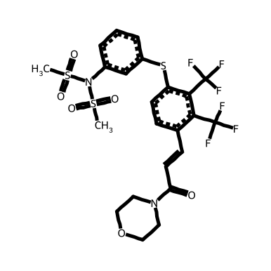 CS(=O)(=O)N(c1cccc(Sc2ccc(C=CC(=O)N3CCOCC3)c(C(F)(F)F)c2C(F)(F)F)c1)S(C)(=O)=O